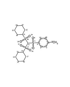 Cc1ccc(S(=O)(=O)C(S(=O)(=O)C2CCCCC2)S(=O)(=O)C2CCCCC2)cc1